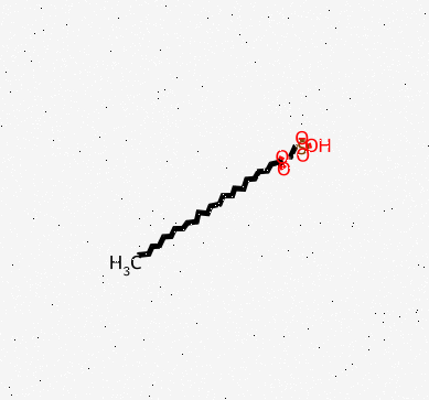 CCCCCCCCCCCCCCCCCCCCCCCCC(=O)OCCS(=O)(=O)O